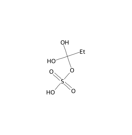 CCC(O)(O)OS(=O)(=O)O